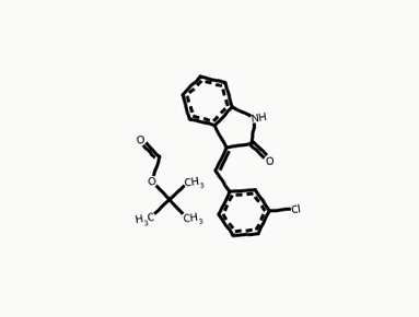 CC(C)(C)OC=O.O=C1Nc2ccccc2C1=Cc1cccc(Cl)c1